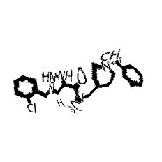 CN(CC1CC[N+](C)(Cc2ccccc2)CC1)C(=O)C1CN(Cc2ccccc2Cl)NN1